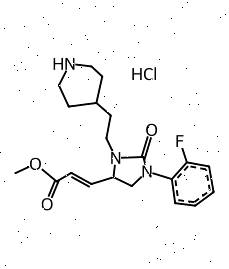 COC(=O)C=CC1CN(c2ccccc2F)C(=O)N1CCC1CCNCC1.Cl